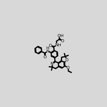 CCOc1cc2c(c3c1OC(C)(C)C3)C(c1ccc(C(=O)NCC(=O)O)c(NC(=O)c3ccccc3)c1)=NC(C)(C)C2